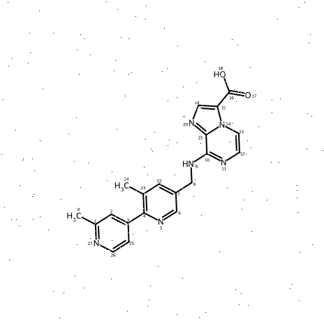 Cc1cc(-c2ncc(CNc3nccn4c(C(=O)O)cnc34)cc2C)ccn1